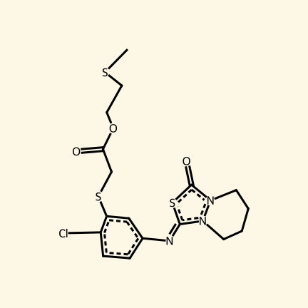 CSCCOC(=O)CSc1cc(/N=c2\sc(=O)n3n2CCCC3)ccc1Cl